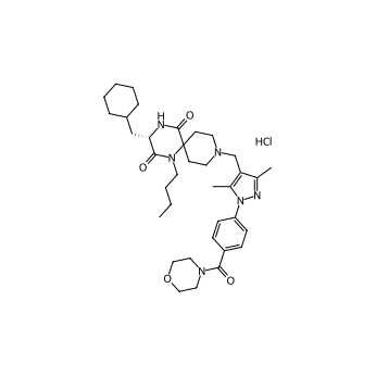 CCCCN1C(=O)[C@H](CC2CCCCC2)NC(=O)C12CCN(Cc1c(C)nn(-c3ccc(C(=O)N4CCOCC4)cc3)c1C)CC2.Cl